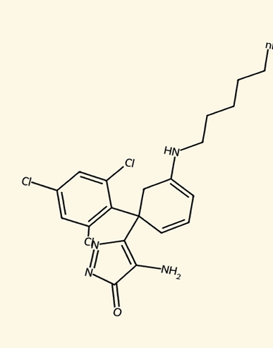 CCCCCCCCCCCCCCCNC1=CC=CC(C2=C(N)C(=O)N=N2)(c2c(Cl)cc(Cl)cc2Cl)C1